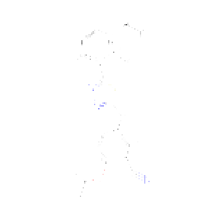 CC(C)Oc1ccc(Cc2nnc(-c3cccc4c3CCCC4)s2)cc1C#N